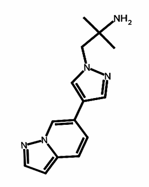 CC(C)(N)Cn1cc(-c2ccc3ccnn3c2)cn1